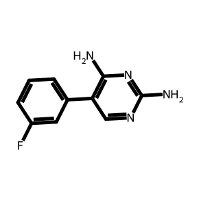 Nc1ncc(-c2cccc(F)c2)c(N)n1